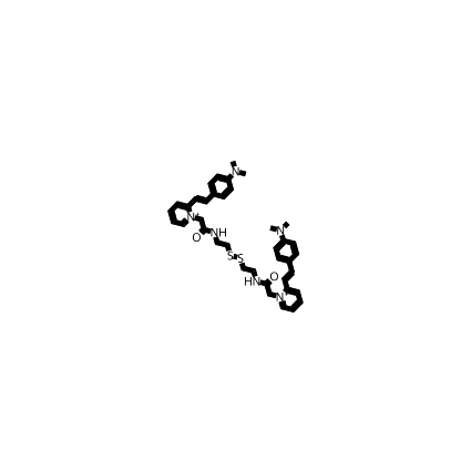 CN(C)c1ccc(/C=C/c2cccc[n+]2CC(=O)NCCSSCCNC(=O)C[n+]2ccccc2/C=C/c2ccc(N(C)C)cc2)cc1